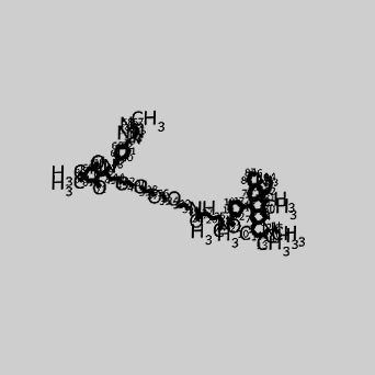 CC[N+]1=c2cc3c(cc2C(C)CC1(C)C)=C(c1cccc(C(=O)N(C)CCCC(=O)NCCCOCCOCCOCCOCCC(NCc2ccc(-c4nnc(C)nn4)cc2)=C2C(=O)CC(C)(C)CC2=O)c1)c1cc2c4c(c1C3(C)C)CCCN4CCC2